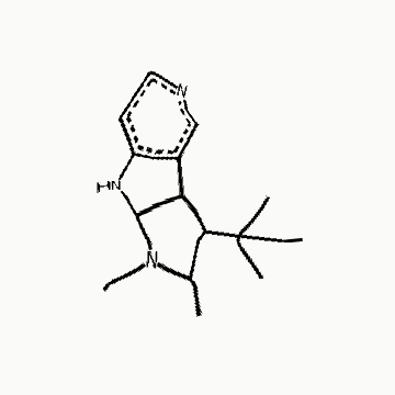 CC1C(C(C)(C)C)C2c3cnccc3NC2N1C